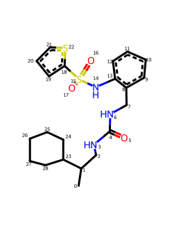 CC(CNC(=O)NCc1ccccc1NS(=O)(=O)c1cccs1)C1CCCCC1